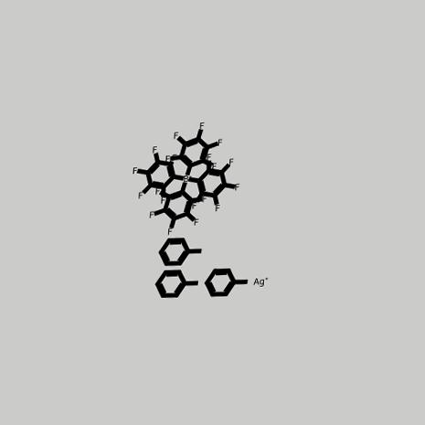 Cc1ccccc1.Cc1ccccc1.Cc1ccccc1.Fc1c(F)c(F)c([B-](c2c(F)c(F)c(F)c(F)c2F)(c2c(F)c(F)c(F)c(F)c2F)c2c(F)c(F)c(F)c(F)c2F)c(F)c1F.[Ag+]